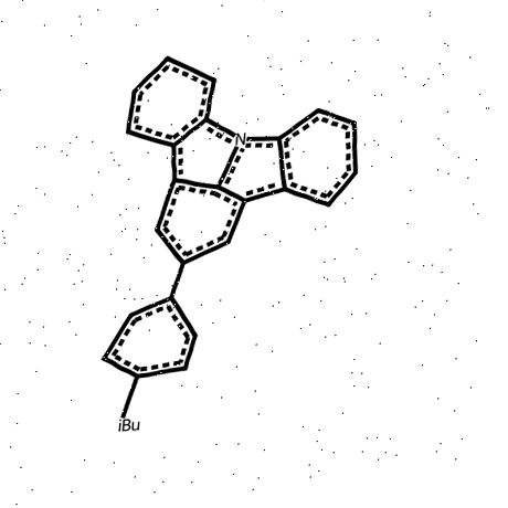 CCC(C)c1ccc(-c2cc3c4ccccc4n4c5ccccc5c(c2)c34)cc1